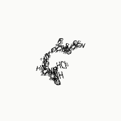 C[C@@H]1CN(CCOc2ccc(N3C(=S)N(c4ccc(C#N)c(C(F)(F)F)c4)C(=O)C3(C)C)cc2CCF)CCN1CC(=O)Nc1cccc(NC2CCC(=O)NC2=O)c1.Cl